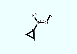 COB(F)C1CC1